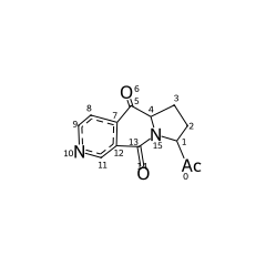 CC(=O)C1CCC2C(=O)c3ccncc3C(=O)N12